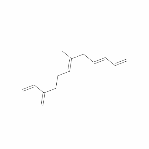 C=CC=CCC(C)=CCCC(=C)C=C